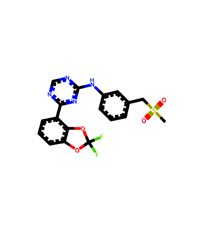 CS(=O)(=O)Cc1cccc(Nc2ncnc(-c3cccc4c3OC(F)(F)O4)n2)c1